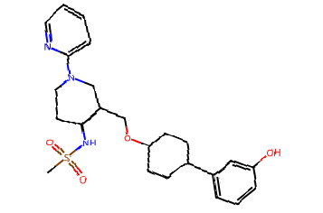 CS(=O)(=O)NC1CCN(c2ccccn2)CC1COC1CCC(c2cccc(O)c2)CC1